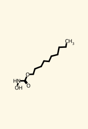 CCCCCCCCCCOC(=O)NO